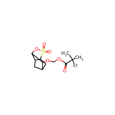 CCC(C)(C)C(=O)OCOC1C2CC3C1OS(=O)(=O)C3C2